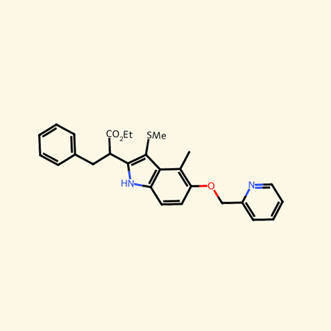 CCOC(=O)C(Cc1ccccc1)c1[nH]c2ccc(OCc3ccccn3)c(C)c2c1SC